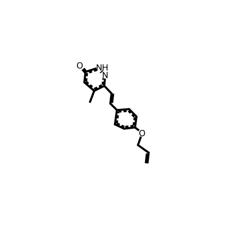 C=CCOc1ccc(/C=C/c2n[nH]c(=O)cc2C)cc1